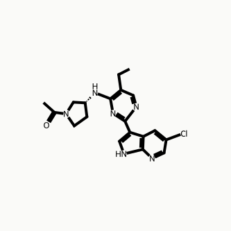 CCc1cnc(-c2c[nH]c3ncc(Cl)cc23)nc1N[C@@H]1CCN(C(C)=O)C1